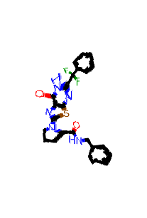 O=C(NCc1ccccc1)C1CCCN1c1nc2c(=O)[nH]c(C(F)(F)c3ccccc3)nc2s1